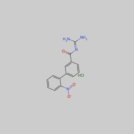 Cl.NC(N)=NC(=O)c1cccc(-c2ccccc2[N+](=O)[O-])c1